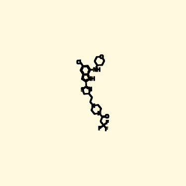 O=C(CC(F)(F)F)N1CCN(CCC2CSC(c3cc4cc(Cl)cc(NC5CCOCC5)c4[nH]3)=N2)CC1